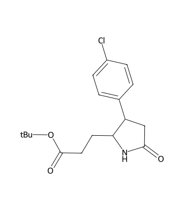 CC(C)(C)OC(=O)CCC1NC(=O)CC1c1ccc(Cl)cc1